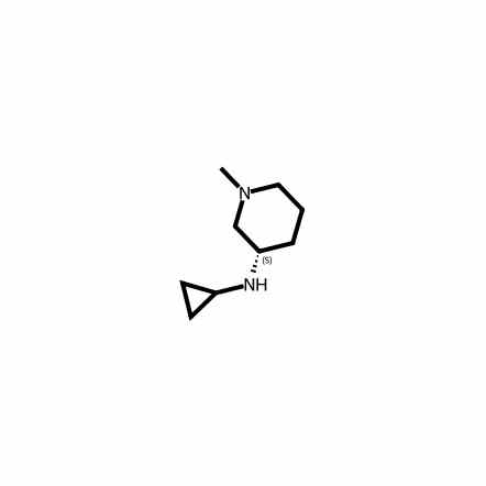 CN1CCC[C@H](NC2CC2)C1